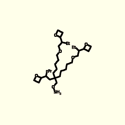 CCCC(CC(CCCCCOCC(CC)C1CCO1)(CCCCCOCC(CC)C1CCO1)CO[SiH3])C1CCO1